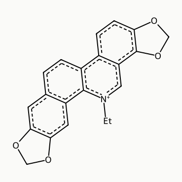 CC[n+]1cc2c3c(ccc2c2ccc4cc5c(cc4c21)OCO5)OCO3